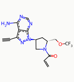 C#Cc1nn([C@H]2C[C@H](COC(F)(F)F)N(C(=O)C=C)C2)c2ncnc(N)c12